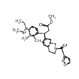 CCN(NC)c1ccc(C(CC(=O)OC)c2ccc3c(c2)CN(C(=O)c2ccon2)CC3)c(C)c1N